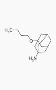 CCCCOC12CC3CC(CC(N)(C3)C1)C2